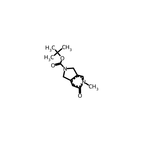 Cn1cc2c(cc1=O)CN(C(=O)OC(C)(C)C)C2